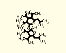 CC(C)CC1OC(OC2(O)OC(CC(C)C)C(C(C)C)C2C(C)C)C(C(C)C)C(C(C)C)C1C(C)C